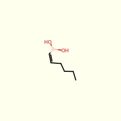 CCCC/C=C\B(O)O